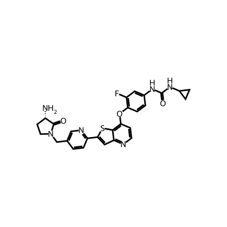 N[C@H]1CCN(Cc2ccc(-c3cc4nccc(Oc5ccc(NC(=O)NC6CC6)cc5F)c4s3)nc2)C1=O